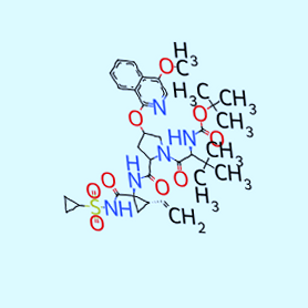 C=C[C@@H]1C[C@]1(NC(=O)C1CC(Oc2ncc(OC)c3ccccc23)CN1C(=O)[C@@H](NC(=O)OC(C)(C)C)C(C)(C)C)C(=O)NS(=O)(=O)C1CC1